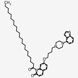 CCCCCCCCCCCCCCCCCCCCCC(=O)n1c(=O)ccc2ccc(OCCCCN3CCN(c4cccc5sccc45)CC3)cc21